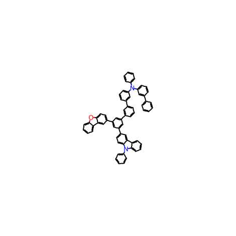 c1ccc(-c2cccc(N(c3ccccc3)c3cccc(-c4cccc(-c5cc(-c6ccc7oc8ccccc8c7c6)cc(-c6ccc7c(c6)c6ccccc6n7-c6ccccc6)c5)c4)c3)c2)cc1